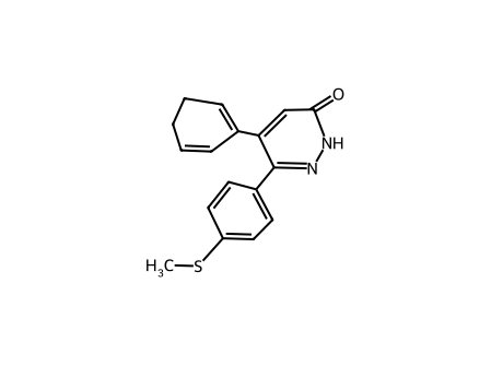 CSc1ccc(-c2n[nH]c(=O)cc2C2=CCCC=C2)cc1